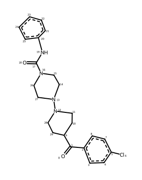 O=C(c1ccc(Cl)cc1)C1CCN(N2CCN(C(=O)Nc3ccccc3)CC2)CC1